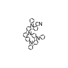 N#Cc1cccc2c3c(ccc4c5ccccc5n(-c5ccc6c(c5)c5c(ccc7c8ccccc8n(-c8ccccc8)c75)n6-c5ccccc5)c43)n(-c3ccccc3)c12